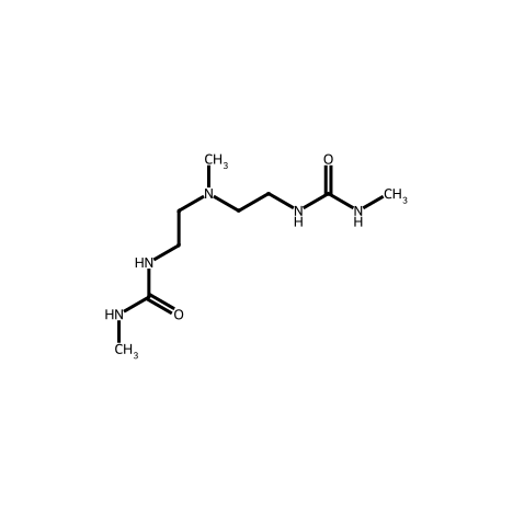 CNC(=O)NCCN(C)CCNC(=O)NC